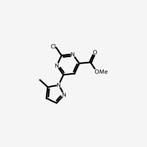 COC(=O)c1cc(-n2nccc2C)nc(Cl)n1